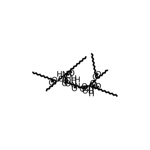 CCCCCCCCCCCC(=O)CC(=O)N[C@H](COCC[C@@H](CCCCCCC)OC(=O)CCCCCCCCCCC)COP(=O)(O)OCCNC(=O)NCCOP(=O)(O)OC[C@@H](COCC[C@@H](CCCCCCC)OC(=O)CCCCCCCCCCC)NC(=O)CC(=O)CCCCCCCCCCC